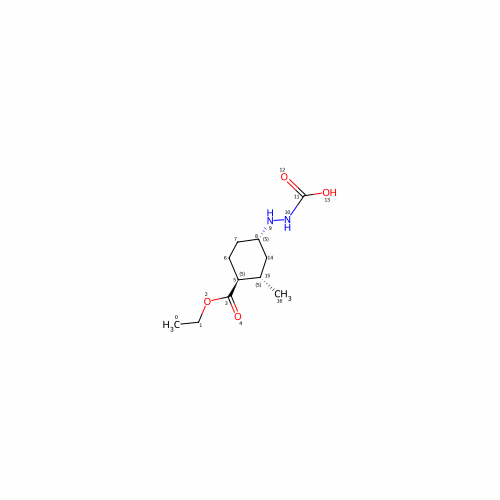 CCOC(=O)[C@H]1CC[C@H](NNC(=O)O)C[C@@H]1C